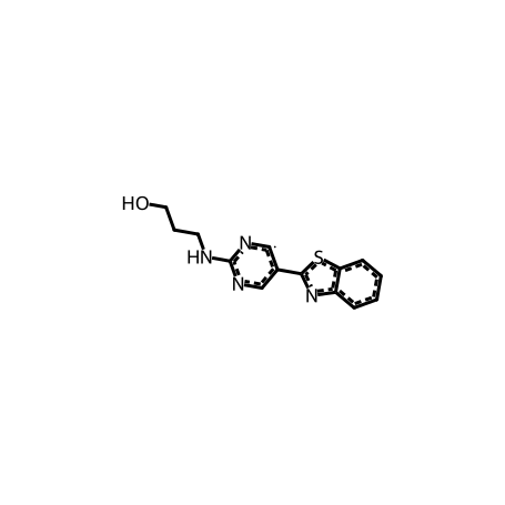 OCCCNc1n[c]c(-c2nc3ccccc3s2)cn1